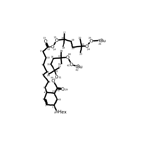 CCCCCCC1C=CC(CCCCCCCC(=O)OOC(C)(C)CCC(C)(C)OOC(C)(C)C)C(C(=O)OOC(C)(C)CCC(C)(C)OOC(C)(C)C)C1